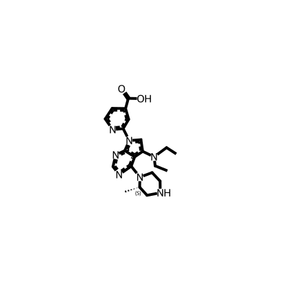 CCN(CC)c1cn(-c2cc(C(=O)O)ccn2)c2ncnc(N3CCNC[C@@H]3C)c12